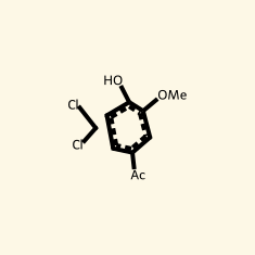 COc1cc(C(C)=O)ccc1O.ClCCl